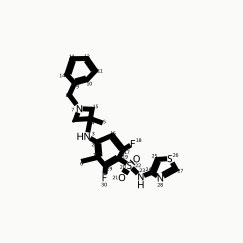 Cc1c(NC2(C)CN(Cc3ccccc3)C2)cc(F)c(S(=O)(=O)Nc2cscn2)c1F